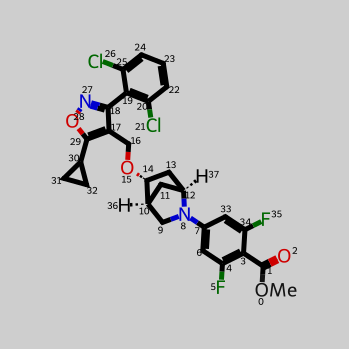 COC(=O)c1c(F)cc(N2C[C@@H]3C[C@H]2C[C@H]3OCc2c(-c3c(Cl)cccc3Cl)noc2C2CC2)cc1F